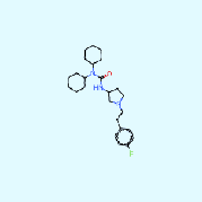 O=C(NC1CCN(CCc2ccc(F)cc2)C1)N(C1CCCCC1)C1CCCCC1